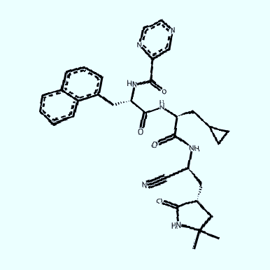 CC1(C)C[C@@H](C[C@@H](C#N)NC(=O)[C@H](CC2CC2)NC(=O)[C@H](Cc2cccc3ccccc23)NC(=O)c2cnccn2)C(=O)N1